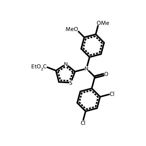 CCOC(=O)c1csc(N(C(=O)c2ccc(Cl)cc2Cl)c2ccc(OC)c(OC)c2)n1